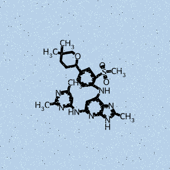 Cc1cc(Nc2cc(Nc3ccc(C4CCC(C)(C)CO4)cc3S(C)(=O)=O)c3nc(C)[nH]c3n2)nc(C)n1